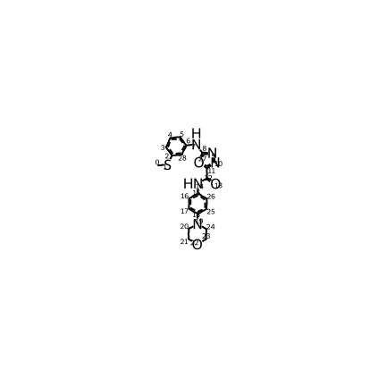 CSc1cccc(Nc2nnc(C(=O)Nc3ccc(N4CCOCC4)cc3)o2)c1